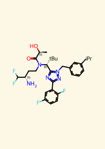 CC(C)c1cccc(Cn2nc(-c3cc(F)ccc3F)nc2[C@H](N(CC[C@H](N)C(F)F)C(=O)[C@H](C)O)C(C)(C)C)c1